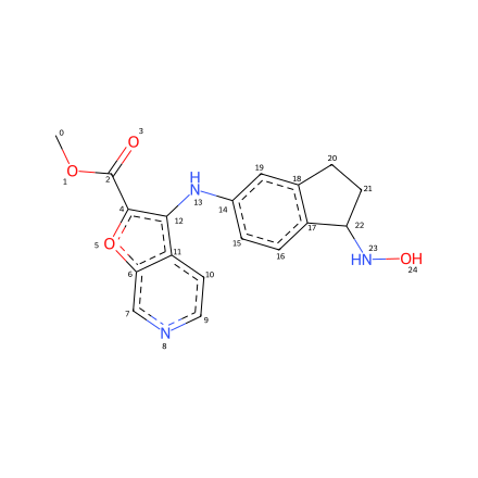 COC(=O)c1oc2cnccc2c1Nc1ccc2c(c1)CCC2NO